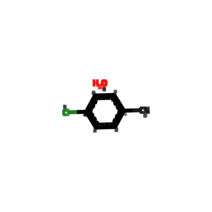 N#Cc1ccc(Cl)cc1.O